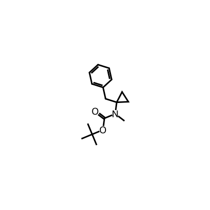 CN(C(=O)OC(C)(C)C)C1(Cc2ccccc2)CC1